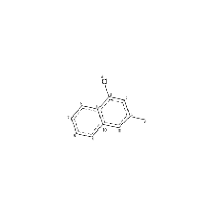 Cc1cc(Cl)c2ccccc2c1